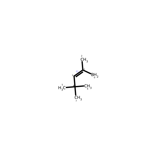 B/C(C)=C\C(C)(C)C